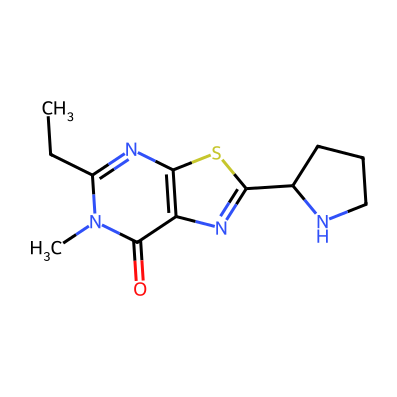 CCc1nc2sc(C3CCCN3)nc2c(=O)n1C